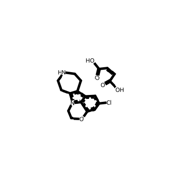 Clc1cc2c3c(c1)c1c(n3CCO2)CCNCC1.O=C(O)/C=C\C(=O)O